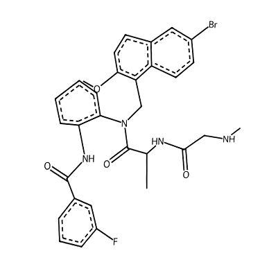 CNCC(=O)NC(C)C(=O)N(Cc1c(OC)ccc2cc(Br)ccc12)c1ccccc1NC(=O)c1cccc(F)c1